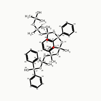 C[Si](C)(O)O[Si](C)(C)O[Si](C)(C)O[Si](O[Si](C)(C)O[Si](C)(C)O[Si](C)(C)O[Si](O)(c1ccccc1)c1ccccc1)(c1ccccc1)c1ccccc1